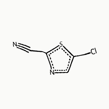 N#Cc1ncc(Cl)s1